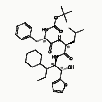 CCC(C1CCCCC1)[C@@H](NC(=O)[C@H](CC(C)C)NC(=O)[C@H](Cc1ccccc1)NC(=O)OC(C)(C)C)[C@H](O)c1ccco1